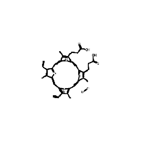 C=CC1=C(C)c2cc3[nH]c(cc4nc(cc5[nH]c(cc1n2)c(C)c5CCC(=O)O)C(CCC(=O)O)=C4C)c(C)c3C=C.[Cl][Rh]